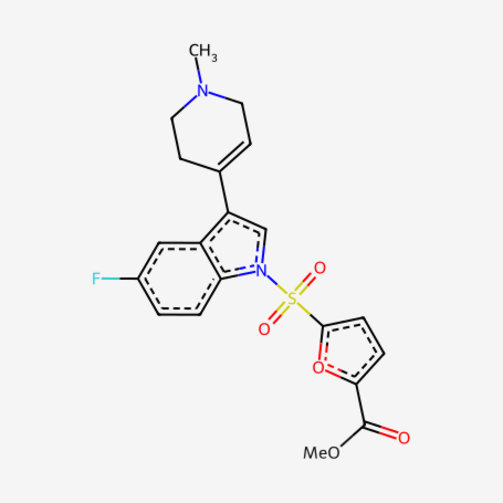 COC(=O)c1ccc(S(=O)(=O)n2cc(C3=CCN(C)CC3)c3cc(F)ccc32)o1